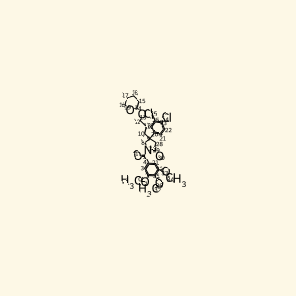 COc1cc(C(=O)N2CC(CCCOC3CCCCO3)(c3ccc(Cl)c(Cl)c3)CC2=O)cc(OC)c1OC